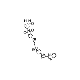 NC(=O)CCC(C=O)N1C(=O)c2ccc(NCCCC[S+]([O-])N3CCC(n4cc(-c5cnc6ccccc6n5)cn4)CC3)cc2C1=O